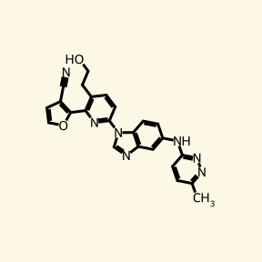 Cc1ccc(Nc2ccc3c(c2)ncn3-c2ccc(CCO)c(-c3occc3C#N)n2)nn1